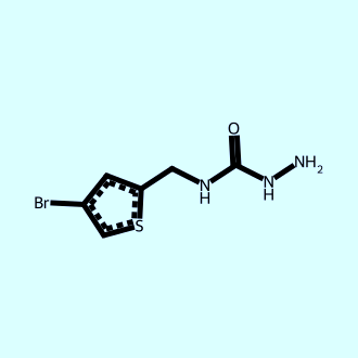 NNC(=O)NCc1cc(Br)cs1